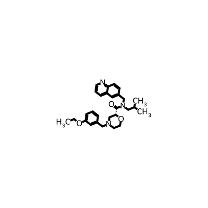 CCOc1cccc(CN2CCO[C@@H](C(=O)N(Cc3ccc4ncccc4c3)CC(C)C)C2)c1